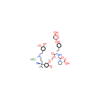 CCOC(=O)[C@H](CCc1ccccc1)N[C@@H](C)C(=O)N1CCC[C@H]1C(=O)O.COc1ccc(CCN(C)CCCC(C#N)(c2ccc(OC)c(OC)c2)C(C)C)cc1OC.Cl.O=C(O)/C=C\C(=O)O